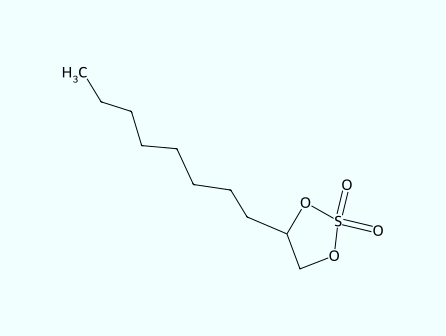 CCCCCCCCC1COS(=O)(=O)O1